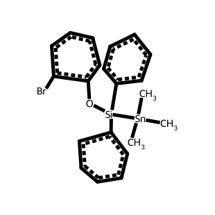 [CH3][Sn]([CH3])([CH3])[Si](Oc1ccccc1Br)(c1ccccc1)c1ccccc1